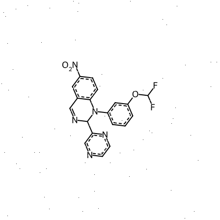 O=[N+]([O-])c1ccc2c(c1)C=NC(c1cnccn1)N2c1cccc(OC(F)F)c1